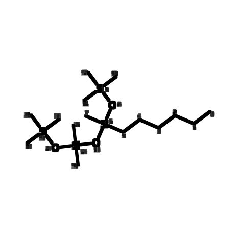 CCCCCC[Si](C)(O[Si](C)(C)C)O[Si](C)(C)O[Si](C)(C)C